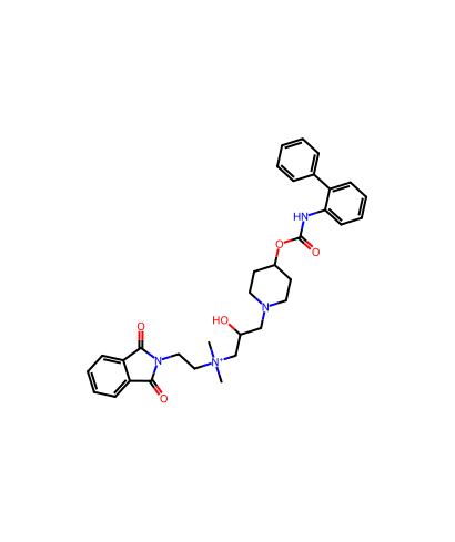 C[N+](C)(CCN1C(=O)c2ccccc2C1=O)CC(O)CN1CCC(OC(=O)Nc2ccccc2-c2ccccc2)CC1